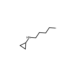 [CH2]CCCCNC1CC1